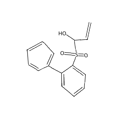 C=CC(O)S(=O)(=O)c1ccccc1-c1ccccc1